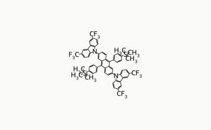 C[Si](C)(C)c1ccc(-c2c3ccc(-n4c5ccc(C(F)(F)F)cc5c5cc(C(F)(F)F)ccc54)cc3c(-c3ccc([Si](C)(C)C)cc3)c3ccc(-n4c5ccc(C(F)(F)F)cc5c5cc(C(F)(F)F)ccc54)cc23)cc1